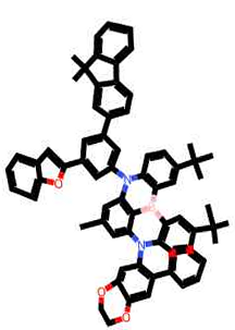 Cc1cc2c3c(c1)N(c1cc4c(cc1-c1ccccc1)OCCO4)c1ccc(C(C)(C)C)cc1B3c1cc(C(C)(C)C)ccc1N2c1cc(-c2ccc3c(c2)C(C)(C)c2ccccc2-3)cc(-c2cc3ccccc3o2)c1